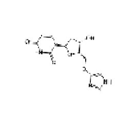 O=c1ccn([C@H]2C[C@H](O)[C@@H](COc3c[nH]nn3)O2)c(=O)[nH]1